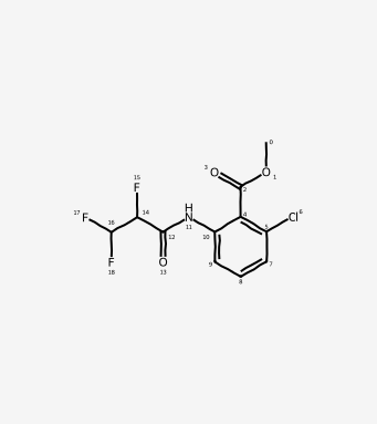 COC(=O)c1c(Cl)cccc1NC(=O)C(F)C(F)F